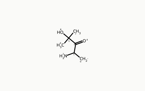 [CH2]C(N)C(=O)C(C)(C)O